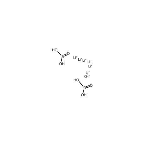 O=[Si](O)O.O=[Si](O)O.[Li+].[Li+].[Li+].[Li+].[Li+].[Li+].[O-2]